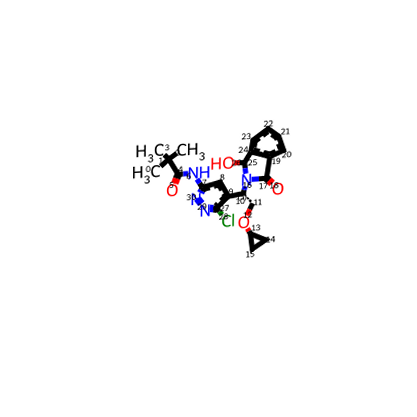 CC(C)(C)C(=O)Nc1cc([C@@H](COC2CC2)N2C(=O)c3ccccc3C2O)c(Cl)nn1